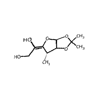 C[C@@H]1/C(=C(/O)CO)OC2OC(C)(C)OC21